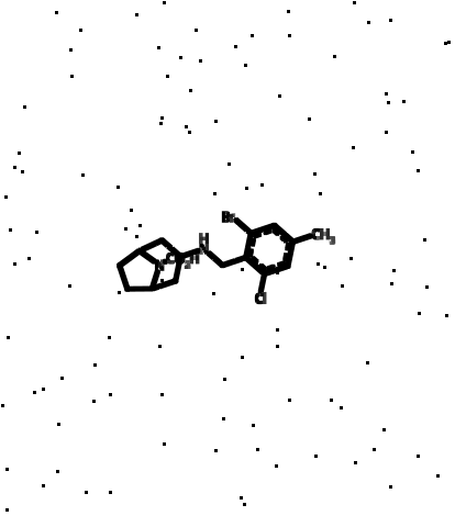 Cc1cc(Cl)c(CNC2CC3CCC(C2)N3C(=O)O)c(Br)c1